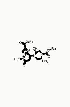 COC(=O)c1cn2c(n1)c(N1C[C@@H](C)N(C(=O)OC(C)(C)C)C[C@@H]1C)cc(=O)n2C